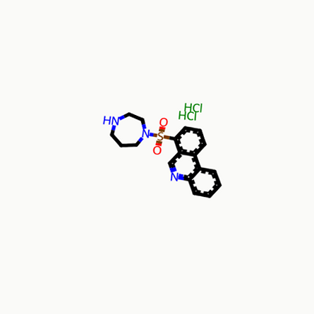 Cl.Cl.O=S(=O)(c1cccc2c1cnc1ccccc12)N1CCCNCC1